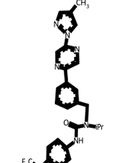 Cc1cnn(-c2cnc(-c3cccc(CN(C(=O)Nc4ccc(OC(F)(F)F)cc4)C(C)C)c3)cn2)c1